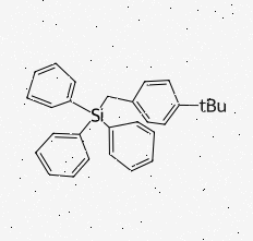 CC(C)(C)c1ccc(C[Si](c2ccccc2)(c2ccccc2)c2ccccc2)cc1